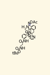 CC(=O)O/N=C(/N)c1cccc(CC(NS(=O)(=O)c2cccc(NC(=O)CCNC(=O)OC(C)(C)C)c2)c2nccs2)c1